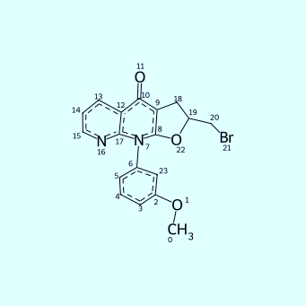 COc1cccc(-n2c3c(c(=O)c4cccnc42)CC(CBr)O3)c1